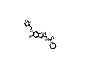 O=C(NCc1cc2cc(F)c(OCc3ccon3)cc2[nH]1)N1CCCCC1